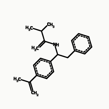 C=C(C)c1ccc(C(Cc2ccccc2)NC(=C)C(C)C)cc1